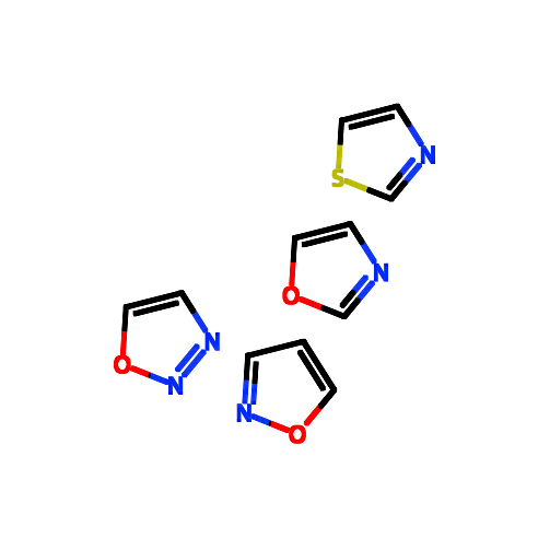 c1cnoc1.c1cocn1.c1conn1.c1cscn1